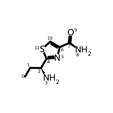 CC[C@H](N)c1nc(C(N)=O)cs1